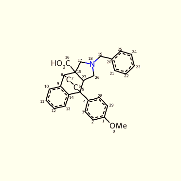 COc1ccc(C23CCC(c4ccccc42)C2(C(=O)O)CN(Cc4ccccc4)CC32)cc1